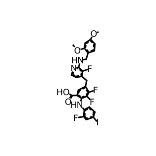 COc1ccc(CNc2nccc(Cc3cc(C(=O)O)c(Nc4ccc(I)cc4F)c(F)c3F)c2F)c(OC)c1